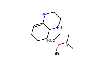 C1=C2NCCNC2CCC1.CC(=O)O.C[SiH](C)OC(C)(C)C